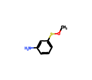 COSc1cccc(N)c1